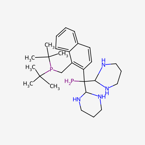 CC(C)(C)P(Cc1c(C(P)(C2NCCCN2)C2NCCCN2)ccc2ccccc12)C(C)(C)C